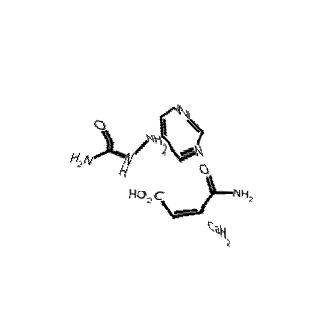 NC(=O)/C=C\C(=O)O.NNC(N)=O.[CaH2].c1cncnc1